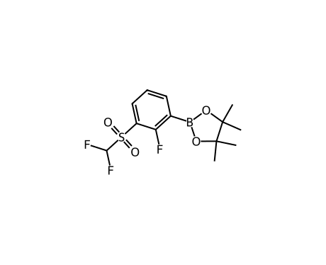 CC1(C)OB(c2cccc(S(=O)(=O)C(F)F)c2F)OC1(C)C